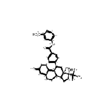 C[C@]12C[C@H](c3ccc(C(=O)Nc4cccc(C(=O)O)c4)cc3)C3=C4CCC(=O)C=C4CCC3C1CC[C@]2(O)C(F)(F)C(F)(F)F